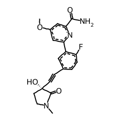 COc1cc(C(N)=O)nc(-c2cc(C#C[C@]3(O)CCN(C)C3=O)ccc2F)c1